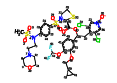 CS(=O)(=O)N(CCN1CCOCC1)c1ccc(S(=O)(=O)N2CCS[C@H]2C(=O)OC(Cc2c(Cl)c[n+]([O-])cc2Cl)c2ccc(OC(F)F)c(OCC3CC3)c2)cc1